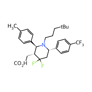 Cc1ccc([C@@H]2[C@@H](CC(=O)O)C(F)(F)C[C@@H](c3ccc(C(F)(F)F)cc3)N2CCCC(C)(C)C)cc1